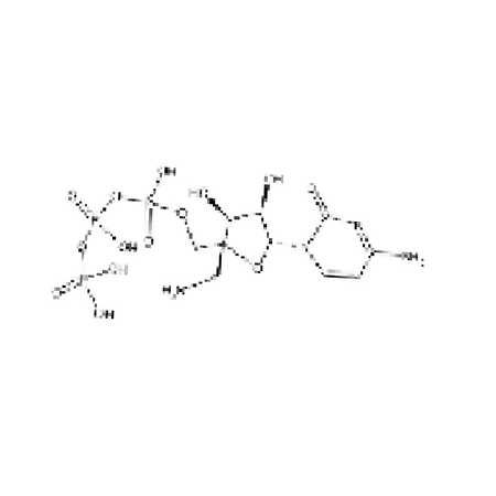 NC[C@]1(COP(=O)(O)OP(=O)(O)OP(=O)(O)O)O[C@@H](n2ccc(N)nc2=O)[C@H](O)[C@@H]1O